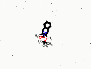 CC1=C(C)C2C3=CC=C=C=C3C1N2C(=O)OC(C)(C)C